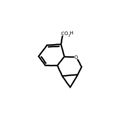 O=C(O)C1=CC=CC2C1OCC1CC12